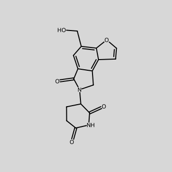 O=C1CCC(N2Cc3c(cc(CO)c4occc34)C2=O)C(=O)N1